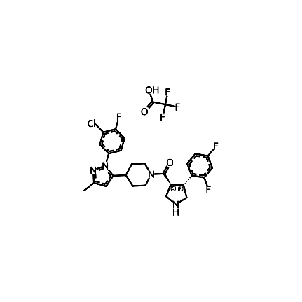 Cc1cc(C2CCN(C(=O)[C@@H]3CNC[C@H]3c3ccc(F)cc3F)CC2)n(-c2ccc(F)c(Cl)c2)n1.O=C(O)C(F)(F)F